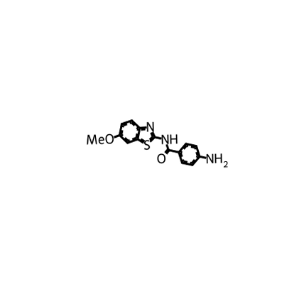 COc1ccc2nc(NC(=O)c3ccc(N)cc3)sc2c1